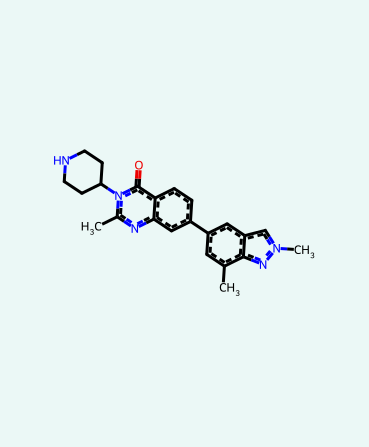 Cc1cc(-c2ccc3c(=O)n(C4CCNCC4)c(C)nc3c2)cc2cn(C)nc12